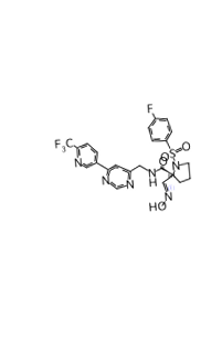 O=C(NCc1cc(-c2ccc(C(F)(F)F)nc2)ncn1)[C@]1(/C=N/O)CCCN1S(=O)(=O)c1ccc(F)cc1